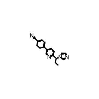 CCC(c1ccc(C2=CC=C(C#N)CC2)cn1)n1ccnc1